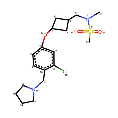 CN(CC1CC(Oc2ccc(CN3CCCC3)c(Cl)c2)C1)S(C)(=O)=O